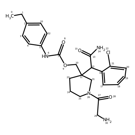 CCc1ccc(NC(=O)OCC2(C(C(N)=O)c3ccccc3Cl)CCCN(C(=O)CN)C2)cc1